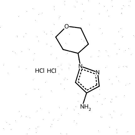 Cl.Cl.Nc1cnn(C2CCOCC2)c1